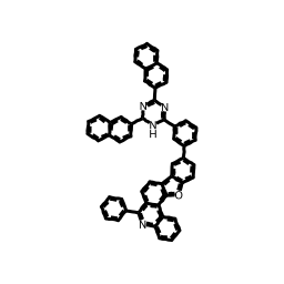 c1ccc(-c2nc3ccccc3c3c2ccc2c4cc(-c5cccc(C6=NC(c7ccc8ccccc8c7)=NC(c7ccc8ccccc8c7)N6)c5)ccc4oc23)cc1